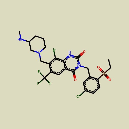 CCS(=O)(=O)c1ccc(Cl)cc1Cn1c(=O)[nH]c2c(Br)c(CN3CCCC(NC)C3)c(C(F)(F)F)cc2c1=O